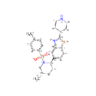 Cc1ccc(S(=O)(=O)N2C[C@@H](C)CC[C@@H]2c2ccc3sc(C4CCNCC4)nc3c2)cc1